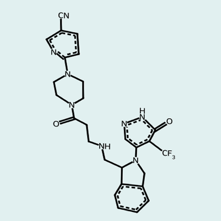 N#Cc1ccc(N2CCN(C(=O)CCNCC3c4ccccc4CN3c3cn[nH]c(=O)c3C(F)(F)F)CC2)nc1